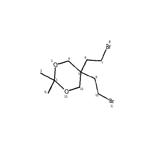 CC1(C)OCC(CCBr)(CCBr)CO1